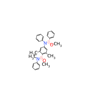 COB(c1c(C)cc(N(B(OC)c2ccccc2)c2ccccc2)cc1C)N(C)c1ccccc1